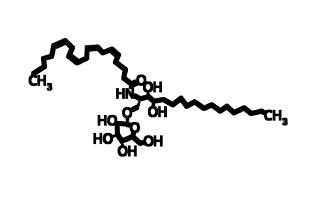 CCCCC/C=C\C/C=C\C/C=C\C/C=C\CCCC(=O)N[C@@H](CO[C@H]1OC(CO)[C@H](O)[C@H](O)C1O)[C@H](O)[C@H](O)CCCCCCCCCCCCCC